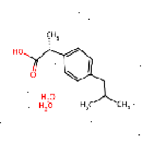 CC(C)Cc1ccc([C@@H](C)C(=O)O)cc1.O.O